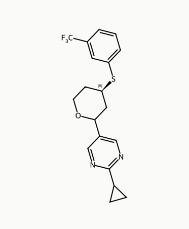 FC(F)(F)c1cccc(S[C@@H]2CCOC(c3cnc(C4CC4)nc3)C2)c1